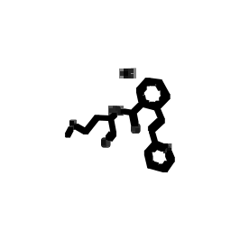 CSCCC(C=O)NC(=O)c1ccccc1C=Cc1ccccn1.Cl